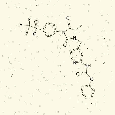 CC1C(=O)N(c2ccc(S(=O)(=O)C(F)(F)F)cc2)C(=O)N1Cc1ccnc(NC(=O)Oc2ccccc2)c1